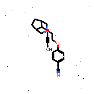 CC#C[CH]C1C2CCC1CN(CCOc1ccc(C#N)cc1)C2